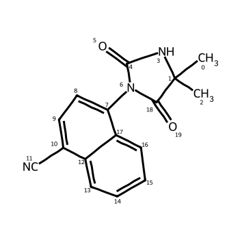 CC1(C)NC(=O)N(c2ccc(C#N)c3ccccc23)C1=O